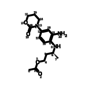 CC(=O)OCC[C@@H](C)Nc1ccc(N2CCCOC2=O)cc1N